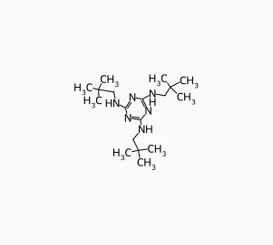 CC(C)(C)CNc1nc(NCC(C)(C)C)nc(NCC(C)(C)C)n1